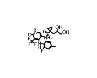 Cn1cc(NS(=O)(=O)C2(CC(O)CO)CC2)c(Nc2ccc(I)cc2F)c(C(F)(F)F)c1=O